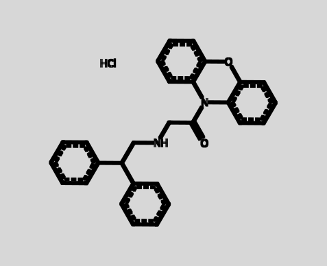 Cl.O=C(CNCC(c1ccccc1)c1ccccc1)N1c2ccccc2Oc2ccccc21